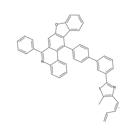 C=C/C=C\c1nc(-c2cccc(-c3ccc(-c4c5c(cc6c(-c7ccccc7)nc7ccccc7c46)oc4ccccc45)cc3)c2)sc1C